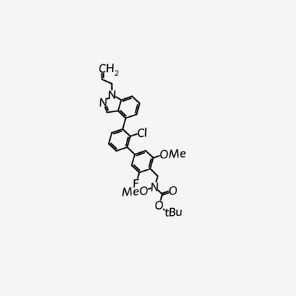 C=CCn1ncc2c(-c3cccc(-c4cc(F)c(CN(OC)C(=O)OC(C)(C)C)c(OC)c4)c3Cl)cccc21